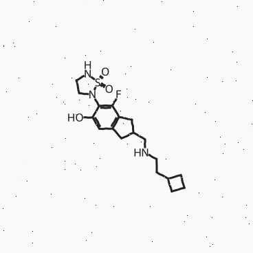 O=S1(=O)NCCN1c1c(O)cc2c(c1F)CC(CNCCC1CCC1)C2